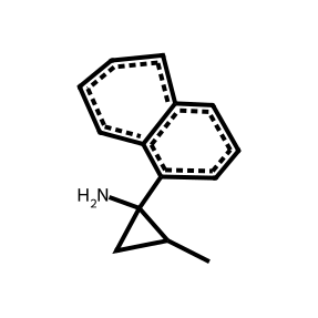 CC1CC1(N)c1cccc2ccccc12